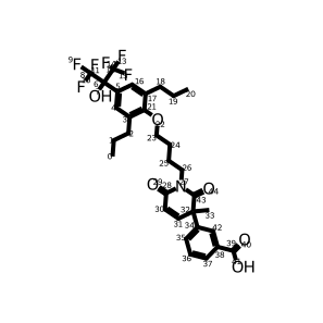 CCCc1cc(C(O)(C(F)(F)F)C(F)(F)F)cc(CCC)c1OCCCCN1C(=O)C=CC(C)(c2cccc(C(=O)O)c2)C1=O